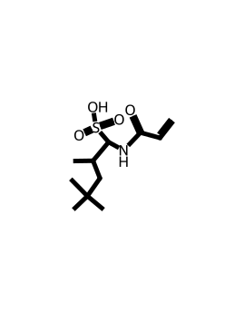 C=CC(=O)NC(C(C)CC(C)(C)C)S(=O)(=O)O